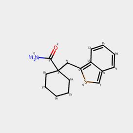 NC(=O)C1(Cc2scc3ccccc23)CCCCC1